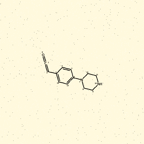 O=C=Cc1ccc(N2CCNCC2)cc1